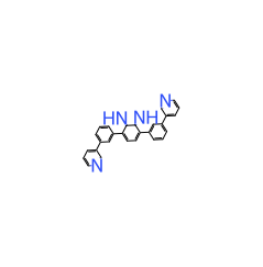 N=C1C(=N)C(c2cccc(-c3cccnc3)c2)=CC=C1c1cccc(-c2cccnc2)c1